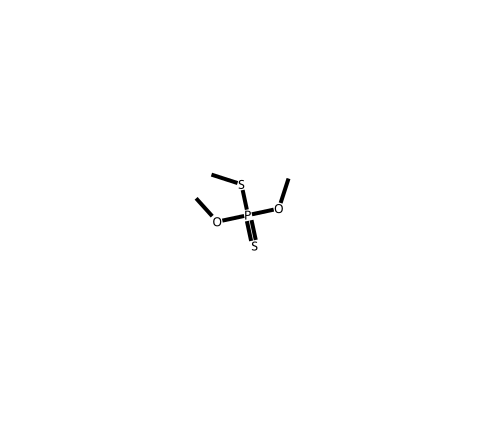 COP(=S)(OC)SC